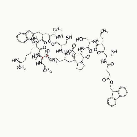 C=CC[C@H](CC(=O)[C@H](CS)NC(=O)CCC(=O)OCC1c2ccccc2-c2ccccc21)C(=O)N[C@@H](CO)C(=O)N[C@@H](CC(=O)O)C(=O)N1CCCC1C(=O)C[C@@H](CCCNC(=N)N)C(=O)N[C@@H](CS)C(=O)N[C@@H](C)C(=O)C[C@@H](Cc1cc2ccccc2[nH]1)C(=O)N[C@@H](CCCCC(=N)N)C(=O)N[C@@H](CC=C)C(N)=O